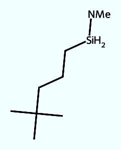 CN[SiH2]CCCC(C)(C)C